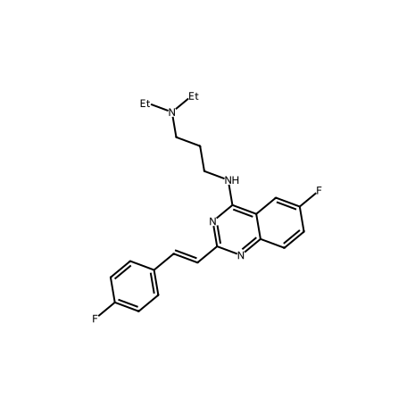 CCN(CC)CCCNc1nc(C=Cc2ccc(F)cc2)nc2ccc(F)cc12